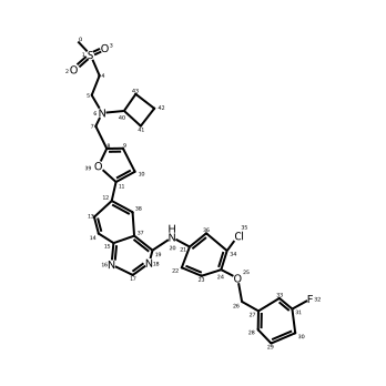 CS(=O)(=O)CCN(Cc1ccc(-c2ccc3ncnc(Nc4ccc(OCc5cccc(F)c5)c(Cl)c4)c3c2)o1)C1CCC1